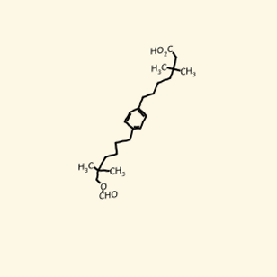 CC(C)(CCCCc1ccc(CCCCC(C)(C)CC(=O)O)cc1)COC=O